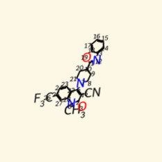 Cn1c(=O)c(C#N)c(N2CCC(c3nc4ccccc4o3)CC2)c2ccc(C(F)(F)F)cc21